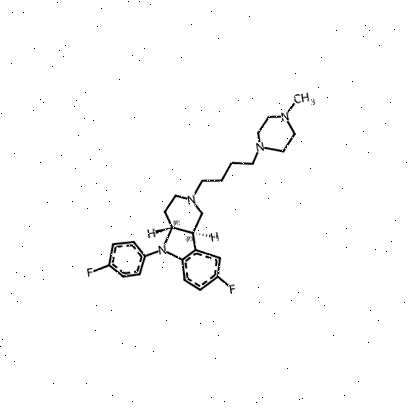 CN1CCN(CCCCN2CC[C@@H]3[C@@H](C2)c2cc(F)ccc2N3c2ccc(F)cc2)CC1